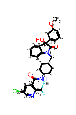 O=C(N[C@H]1CC[C@H](CN2C(=O)C(O)(C3=CC=CC(OC(F)(F)F)C3)c3ccccc32)CC1)c1cc(Cl)cnc1C(F)F